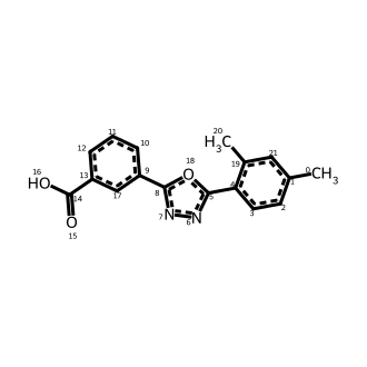 Cc1ccc(-c2nnc(-c3cccc(C(=O)O)c3)o2)c(C)c1